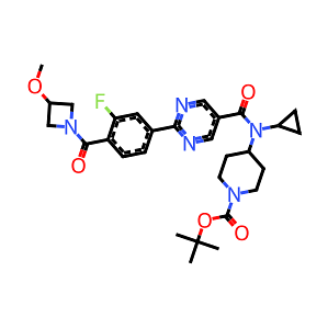 COC1CN(C(=O)c2ccc(-c3ncc(C(=O)N(C4CC4)C4CCN(C(=O)OC(C)(C)C)CC4)cn3)cc2F)C1